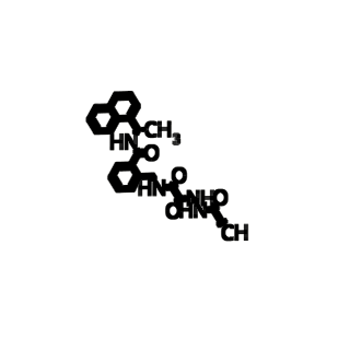 C#CC(=O)NNC(=O)C(=O)NCc1ccccc1C(=O)N[C@H](C)c1cccc2ccccc12